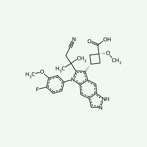 COc1cc(-n2c(C(C)(C)CC#N)c([C@H]3C[C@](OC)(C(=O)O)C3)c3cc4[nH]ncc4cc32)ccc1F